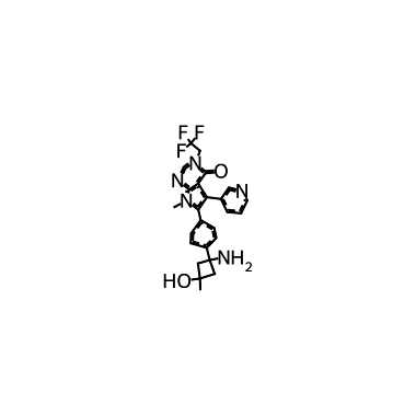 Cn1c(-c2ccc(C3(N)CC(C)(O)C3)cc2)c(-c2cccnc2)c2c(=O)n(CC(F)(F)F)cnc21